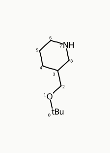 CC(C)(C)OCC1CCCNC1